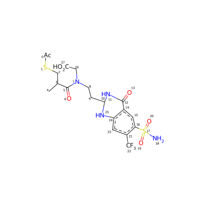 CC(=O)SCC(C)C(=O)N(CCC1NC(=O)c2cc(S(N)(=O)=O)c(C(F)(F)F)cc2N1)CC(=O)O